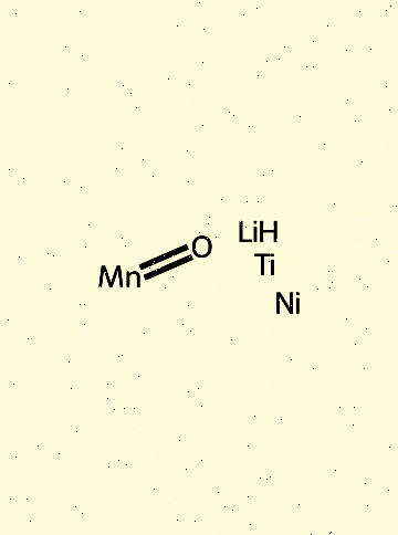 [LiH].[Ni].[O]=[Mn].[Ti]